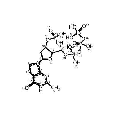 Cc1nc2c(ncn2[C@H]2C[C@@H](OP(=O)(O)O)[C@@H](CO[PH](O)(O)OP(=O)(O)OP(=O)(O)O)O2)c(=O)[nH]1